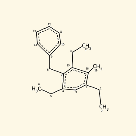 CCc1cc(CC)c(Cc2ccccc2)c(CC)c1C